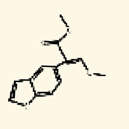 CO/C=C(/C(=O)OC)c1ccc2sccc2c1